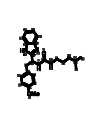 COc1ccc(CC(NC(=O)NCCCN(C)C)c2nc3ccccc3[nH]2)cc1